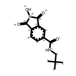 CC(C)(C)CNC(=O)c1ccc2c(c1)C(=O)N(O)C2=O